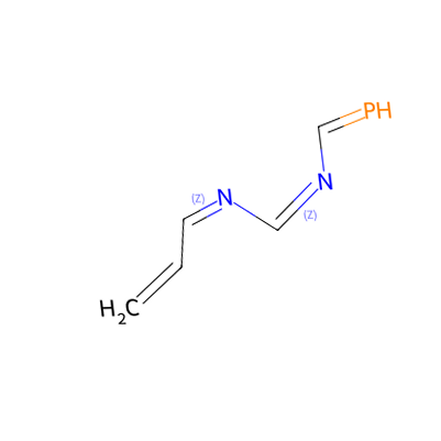 C=C/C=N\C=N/C=P